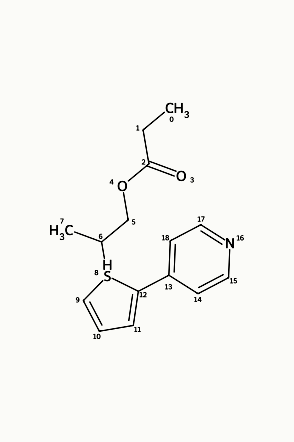 CCC(=O)OCC(C)[SH]1C=CC=C1c1ccncc1